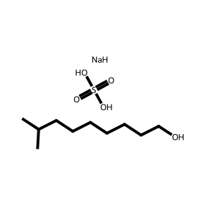 CC(C)CCCCCCCO.O=S(=O)(O)O.[NaH]